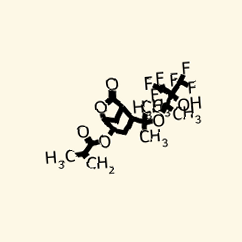 C=C(C)C(=O)OC1CC(C(C)(C)OC(C)(C)C(O)(C(F)(F)F)C(F)(F)F)C2CC1OC2=O